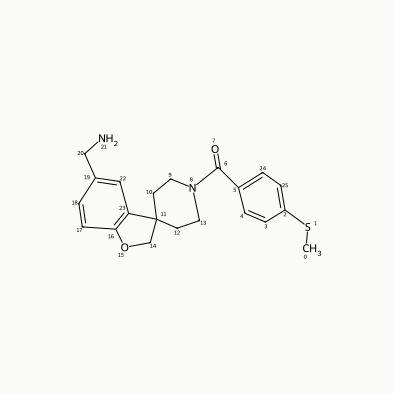 CSc1ccc(C(=O)N2CCC3(CC2)COc2ccc(CN)cc23)cc1